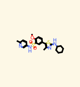 COc1ccc(-c2sc(NC3CCCCC3)nc2C)cc1S(=O)(=O)Nc1ccc(C)nc1